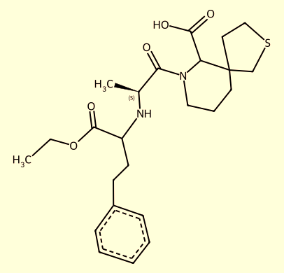 CCOC(=O)C(CCc1ccccc1)N[C@@H](C)C(=O)N1CCCC2(CCSC2)C1C(=O)O